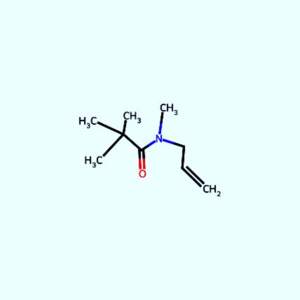 C=CCN(C)C(=O)C(C)(C)C